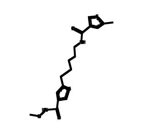 CONC(=O)c1csc(CCCCCNC(=O)c2csc(C)c2)c1